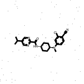 CC(C)c1cnc(C(=O)N[C@H]2CC[C@H](N(C)c3ccc(C#N)c(Cl)c3)CC2)nc1